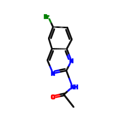 CC(=O)Nc1ncc2cc(Br)ccc2n1